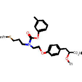 CCCSCCCN(CCOc1ccc(CC(OCC)C(=O)O)cc1)C(=O)Oc1cccc(C)c1